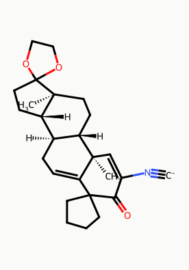 [C-]#[N+]C1=C[C@@]2(C)C(=CC[C@@H]3[C@@H]2CC[C@@]2(C)[C@H]3CCC23OCCO3)C2(CCCC2)C1=O